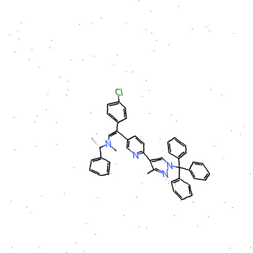 Cc1nn(C(c2ccccc2)(c2ccccc2)c2ccccc2)cc1-c1ccc(/C(=C\N(C)[C@@H](C)c2ccccc2)c2ccc(Cl)cc2)cn1